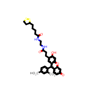 O=C(CCCCC1CCSS1)NCCNC(=O)CCc1cc2c(-c3ccc(C(=O)O)cc3C(=O)O)c3ccc(=O)cc-3oc2cc1O